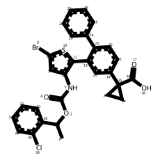 CC(OC(=O)Nc1cc(Br)sc1-c1cc(C2(C(=O)O)CC2)ccc1-c1ccccc1)c1ccccc1Cl